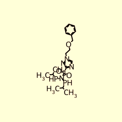 CC(C)PN(PC(C)C)S(=O)(=O)c1ncn(CCOCc2ccccc2)n1